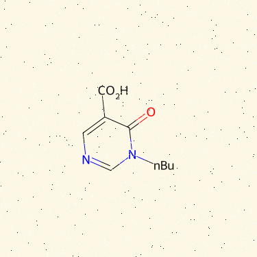 CCCCn1cncc(C(=O)O)c1=O